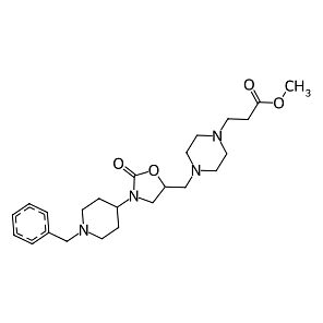 COC(=O)CCN1CCN(CC2CN(C3CCN(Cc4ccccc4)CC3)C(=O)O2)CC1